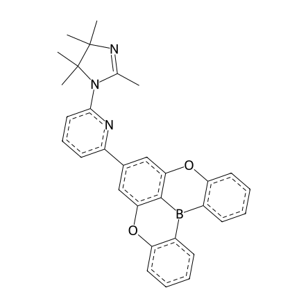 CC1=NC(C)(C)C(C)(C)N1c1cccc(-c2cc3c4c(c2)Oc2ccccc2B4c2ccccc2O3)n1